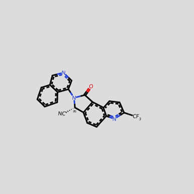 N#C[C@H]1c2ccc3nc(C(F)(F)F)ccc3c2C(=O)N1c1cncc2ccccc12